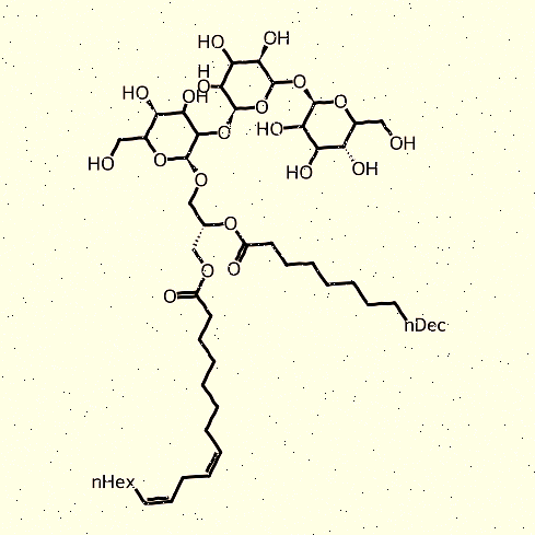 CCCCCC/C=C\C/C=C\CCCCCCC(=O)OC[C@H](CO[C@H]1OC(CO)[C@@H](O)C(O)C1O[C@@H]1OC(O[C@H]2OC(CO)[C@H](O)C(O)C2O)[C@H](O)C(O)C1O)OC(=O)CCCCCCCCCCCCCCCCC